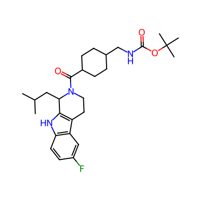 CC(C)CC1c2[nH]c3ccc(F)cc3c2CCN1C(=O)C1CCC(CNC(=O)OC(C)(C)C)CC1